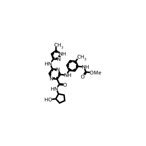 COC(=O)Nc1cc(Nc2nc(Nc3cc(C)[nH]n3)cnc2C(=O)NC2CCCC2O)ccc1C